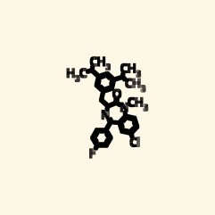 CC(C)c1cc(CC2N=C(c3ccc(F)cc3)c3cc(Cl)ccc3N(C)C2=O)cc(C(C)C)c1